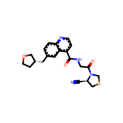 N#C[C@@H]1CSCN1C(=O)CNC(=O)c1ccnc2ccc(C[C@@H]3CCOC3)cc12